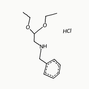 CCOC(CNCc1ccccc1)OCC.Cl